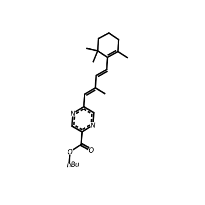 CCCCOC(=O)c1cnc(/C=C(\C)C=CC2=C(C)CCCC2(C)C)cn1